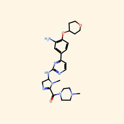 CN1CCN(C(=O)C2=NCC(Nc3nccc(-c4ccc(OC5CCOCC5)c(N)c4)n3)N2C)CC1